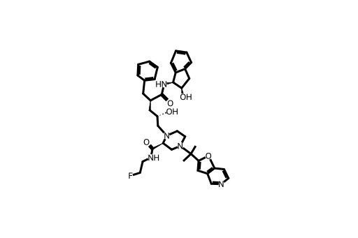 CC(C)(c1cc2cnccc2o1)N1CCN(C[C@@H](O)C[C@@H](Cc2ccccc2)C(=O)N[C@H]2c3ccccc3C[C@H]2O)[C@H](C(=O)NCCF)C1